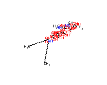 CCCCCCCCCCCCC/C=C/[C@@H](O)[C@H](CO[C@@H]1OC(CO)[C@@H](O[C@@H]2OC(CO)[C@H](O[C@@H]3OC(CO)[C@H](O)[C@H](O[C@@H]4OC(CO[C@@H]5OC(CO)[C@@H](O)[C@H](O[C@H]6C(O)[C@H](O)C(C)O[C@H]6O)C5NC(C)=O)[C@H](O)[C@H](O)C4NC(C)=O)C3O)[C@H](O)C2O)[C@H](O)C1O)NC(=O)CCCCCCCCCCCCCCCCC